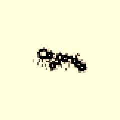 C=C1/C=C\C=C/Cc2ccc(N3c4ccccc4C(C)(C)c4c3ccc3cc(C=C5C(=O)c6cc7ccccc7cc6C5=O)ccc43)cc2C1(C)C